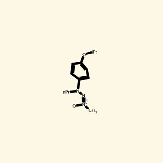 CCCN(/N=[N+](/C)[O-])c1ccc(OC(C)C)cc1